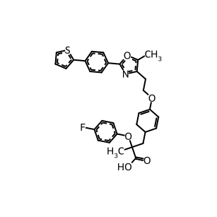 Cc1oc(-c2ccc(-c3cccs3)cc2)nc1CCOC1=CCC(CC(C)(Oc2ccc(F)cc2)C(=O)O)C=C1